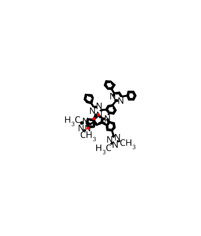 Cc1nc(C)nc(-c2ccc3c(c2)c2cc(-c4nc(C)nc(C)n4)ccc2n3-c2ccc(-c3nc(-c4ccccc4)cc(-c4ccccc4)n3)cc2-c2nc(-c3ccccc3)nc(-c3ccccc3)n2)n1